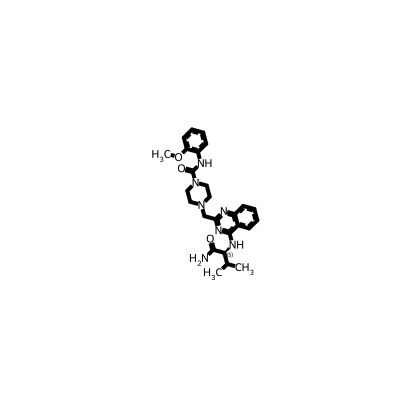 COc1ccccc1NC(=O)N1CCN(Cc2nc(N[C@H](C(N)=O)C(C)C)c3ccccc3n2)CC1